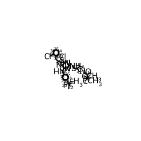 CC(C)(C)OC(=O)N1CCC(CNc2nc(Nc3ccc(C(F)(F)F)cc3)c3nc(Cc4c(Cl)cccc4Cl)sc3n2)C1